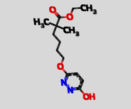 CCOC(=O)C(C)(C)CCCCOc1ccc(O)nn1